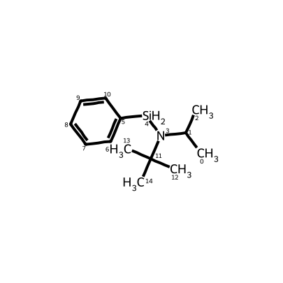 CC(C)N([SiH2]c1ccccc1)C(C)(C)C